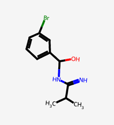 CC(C)C(=N)NC(O)c1cccc(Br)c1